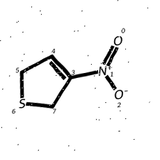 O=[N+]([O-])C1=CCSC1